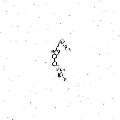 COC[C@@H]1CCCN1C/C=C/C(=O)Nc1ccc(-c2cccc(CC(=O)Nc3cc(C4CC4)[nH]n3)c2)cc1F